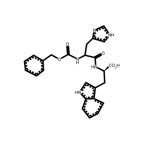 O=C(NC(Cc1c[nH]cn1)C(=O)N[C@H](Cc1c[nH]c2ccccc12)C(=O)O)OCc1ccccc1